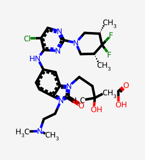 C[C@@H]1CN(c2ncc(Cl)c(Nc3ccc4c(c3)n(CCC(C)(C)O)c(=O)n4CCN(C)C)n2)C[C@H](C)C1(F)F.O=CO